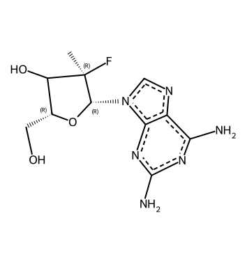 C[C@@]1(F)C(O)[C@@H](CO)O[C@H]1n1cnc2c(N)nc(N)nc21